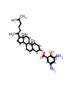 CC(C)CCCC(C)C1CCC2C3CCC4CC(OC(=O)c5cc(N)cc(N)c5O)CCC4(C)C3CCC12C